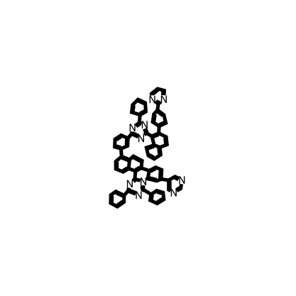 c1ccc(-c2nc(-c3cccc(-c4cccc5c(-c6nc(-c7ccccc7)nc(-c7ccccc7)n6)c(-c6ccc(-c7cncnc7)cc6)ccc45)c3)nc(-c3c(-c4ccc(-c5ncccn5)cc4)ccc4ccccc34)n2)cc1